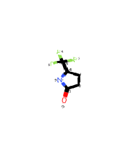 O=C1CCC(C(F)(F)F)[N]1